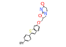 CC(C)c1ccc(-c2cc3ccc(OCC4Cn5ccc(=O)nc5O4)cc3s2)cc1